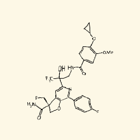 COc1cc(C(=O)NCC(O)(c2cc3c(c(-c4ccc(F)cc4)n2)OC[C@]3(CF)C(N)=O)C(F)(F)F)ccc1OC1CC1